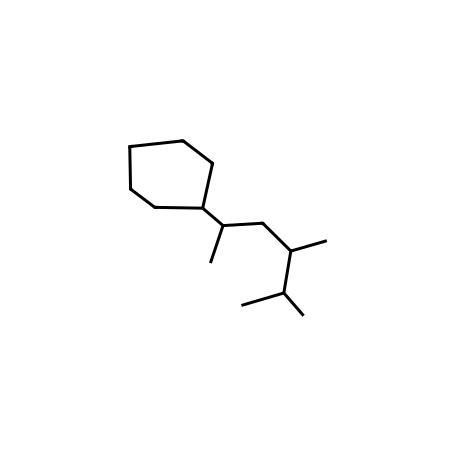 CC(C)C(C)CC(C)C1CCCCC1